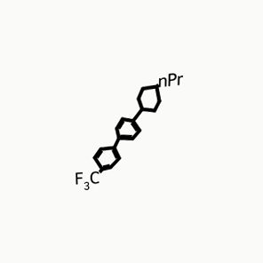 CCCC1CCC(c2ccc(-c3ccc(C(F)(F)F)cc3)cc2)CC1